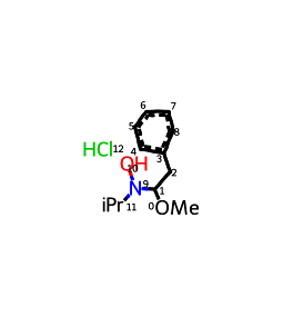 COC(Cc1ccccc1)N(O)C(C)C.Cl